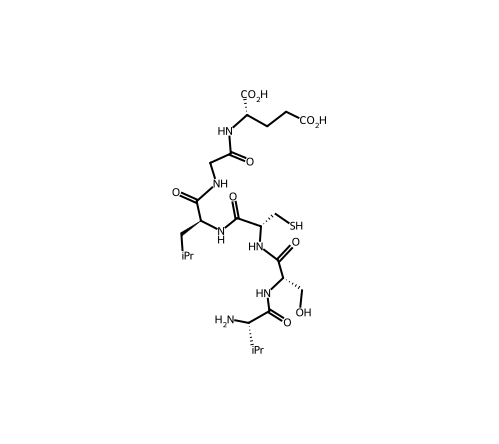 CC(C)C[C@H](NC(=O)[C@H](CS)NC(=O)[C@H](CO)NC(=O)[C@@H](N)C(C)C)C(=O)NCC(=O)N[C@@H](CCC(=O)O)C(=O)O